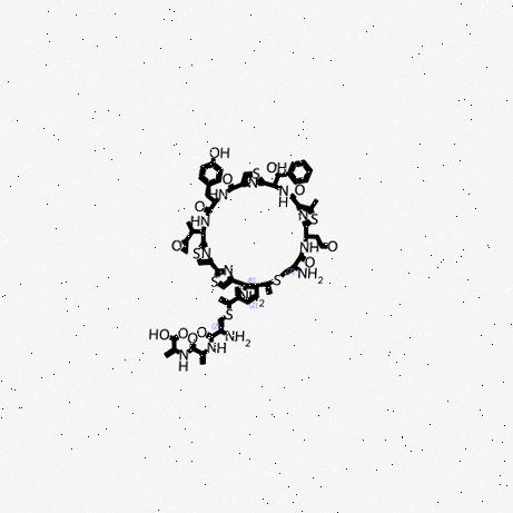 C=C(/C=C\C1=C(/N)c2csc(n2)-c2csc(n2)C(C(C)C2CO2)NC(=O)C(Cc2ccc(O)cc2)NC(=O)c2csc(n2)C(C(O)c2ccccc2)NC(=O)c2nc(sc2C)C(CC=O)NC(=O)/C(N)=C/SC1=C)C(=C)S/C=C(\N)C(=O)NC(=C)C(=O)NC(=C)C(=O)O